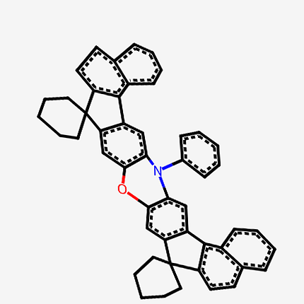 c1ccc(N2c3cc4c(cc3Oc3cc5c(cc32)-c2c(ccc3ccccc23)C52CCCCC2)C2(CCCCC2)c2ccc3ccccc3c2-4)cc1